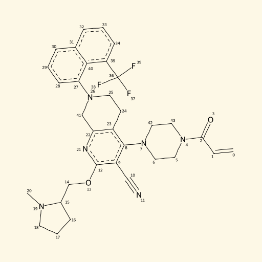 C=CC(=O)N1CCN(c2c(C#N)c(OCC3CCCN3C)nc3c2CCN(c2cccc4cccc(C(F)(F)F)c24)C3)CC1